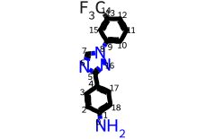 Nc1ccc(-c2ncn(-c3cccc(C(F)(F)F)c3)n2)cc1